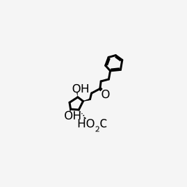 O=C(O)C[C@H]1[C@H](CCC(=O)CCc2ccccc2)[C@@H](O)C[C@H]1O